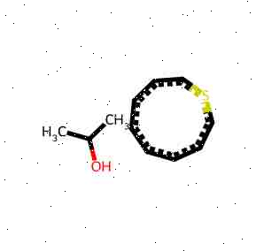 CC(C)O.c1ccccsccc1